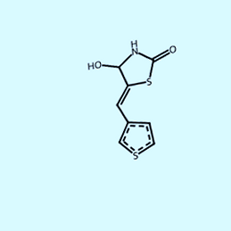 O=C1NC(O)/C(=C/c2ccsc2)S1